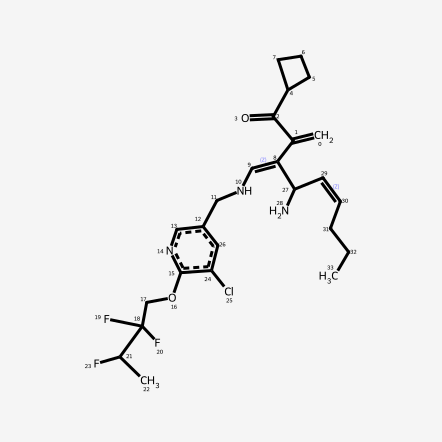 C=C(C(=O)C1CCC1)/C(=C/NCc1cnc(OCC(F)(F)C(C)F)c(Cl)c1)C(N)/C=C\CCC